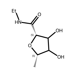 CCNC(=O)[C@H]1O[C@@H](C)C(O)C1O